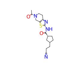 CC(=O)N1CCc2nc(NC(=O)[C@H]3CCC(CCC#N)C3)sc2C1